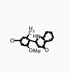 COc1cc(Cl)cc(C)c1-c1cc(=O)c2ccccc2[nH]1